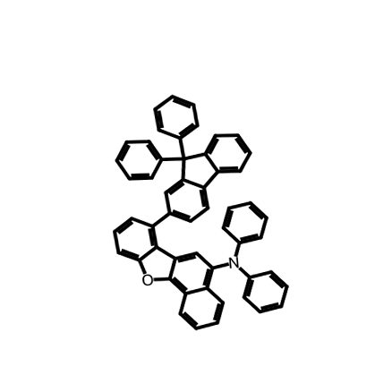 c1ccc(N(c2ccccc2)c2cc3c(oc4cccc(-c5ccc6c(c5)C(c5ccccc5)(c5ccccc5)c5ccccc5-6)c43)c3ccccc23)cc1